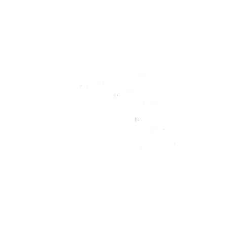 CC(=O)OCOc1cccc2cc(Cl)c(Cl)nc12